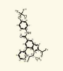 C[C@H](CF)n1c(C(F)F)nc2cc(C(=O)Nc3ccc(OC(F)(F)Cl)cc3)cc(-c3cccnn3)c21